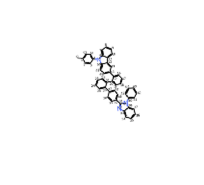 Cc1ccc(-n2c3ccccc3c3cc(-c4ccccc4-c4ccccc4-c4ccc(-c5nc6ccccc6n5-c5ccccc5)cc4)ccc32)cc1